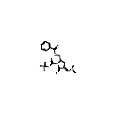 CN(C)/C=C1\CC(COC(=O)c2ccccc2)N(C(=O)OC(C)(C)C)C1=O